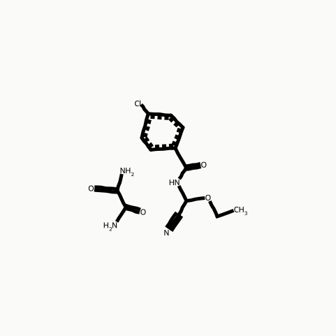 CCOC(C#N)NC(=O)c1ccc(Cl)cc1.NC(=O)C(N)=O